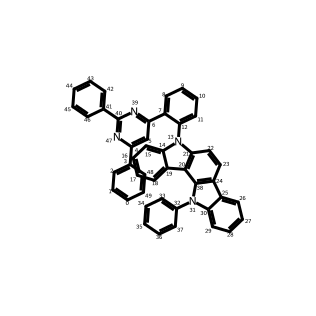 c1ccc(-c2cc(-c3ccccc3-n3c4ccccc4c4c3ccc3c5ccccc5n(-c5ccccc5)c34)nc(-c3ccccc3)n2)cc1